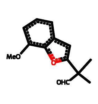 COc1cccc2cc(C(C)(C)C=O)oc12